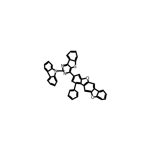 c1ccc(-c2cc(-c3nc(-n4c5ccccc5c5ccccc54)nc4c3sc3ccccc34)cc3oc4cc5c(cc4c23)oc2ccccc25)cc1